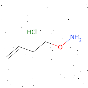 C=CCCON.Cl